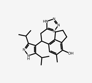 Cc1cc(C(Cc2nnn[nH]2)c2c(C(C)C)n[nH]c2C(C)C)c2c(c1O)CCC2